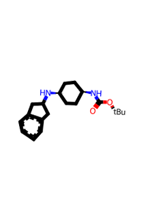 CC(C)(C)OC(=O)N[C@H]1CC[C@@H](NC2Cc3ccccc3C2)CC1